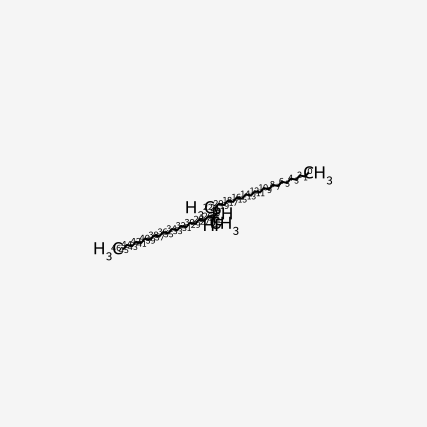 CCCCCCCCCCCCCCCCCCCCCC(C)PC(C)CCCCCCCCCCCCCCCCCCCCC.F